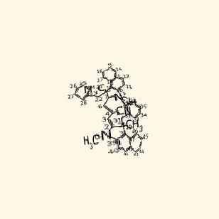 CN1/C(=C/C(C#N)=C/C2=[N+](C)c3ccc4ccccc4c3C2(C)Cc2ccccc2)C(C)(Cc2ccccc2)c2c1ccc1ccccc21